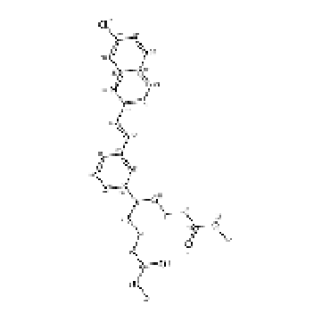 COC(=O)CCSC(SCCC(=O)OC)c1cccc(/C=C/c2ccc3ccc(Cl)cc3n2)c1